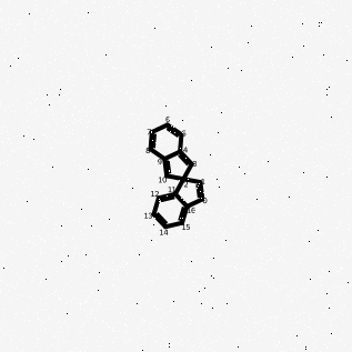 C1=CC2(C=c3ccccc3=C2)c2ccccc21